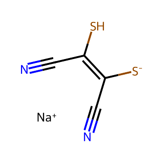 N#C/C([S-])=C(/S)C#N.[Na+]